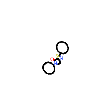 O=C1c2sc(C3CCCCCCCCCCCC3)nc2CCN1C1CCCCCCCCCCCC1